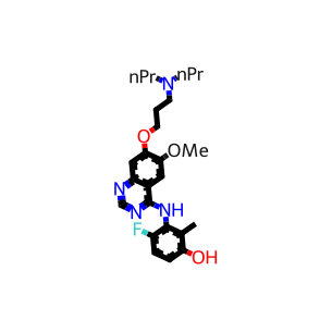 CCCN(CCC)CCCOc1cc2ncnc(Nc3c(F)ccc(O)c3C)c2cc1OC